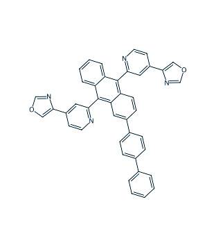 c1ccc(-c2ccc(-c3ccc4c(-c5cc(-c6cocn6)ccn5)c5ccccc5c(-c5cc(-c6cocn6)ccn5)c4c3)cc2)cc1